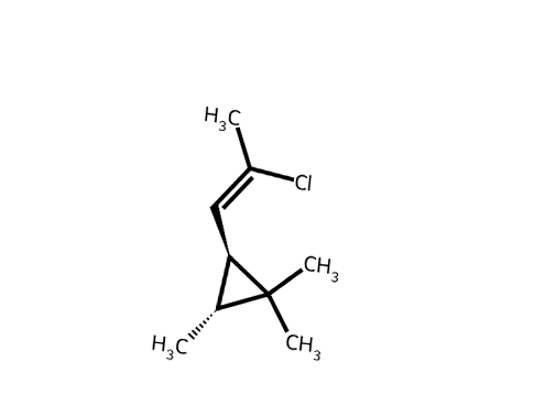 C/C(Cl)=C/[C@@H]1[C@@H](C)C1(C)C